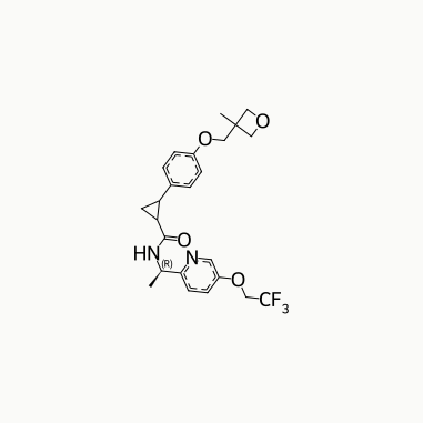 C[C@@H](NC(=O)C1CC1c1ccc(OCC2(C)COC2)cc1)c1ccc(OCC(F)(F)F)cn1